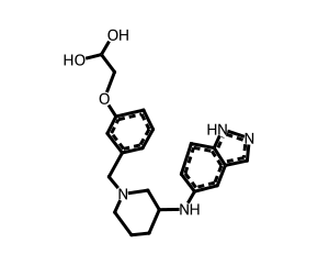 OC(O)COc1cccc(CN2CCCC(Nc3ccc4[nH]ncc4c3)C2)c1